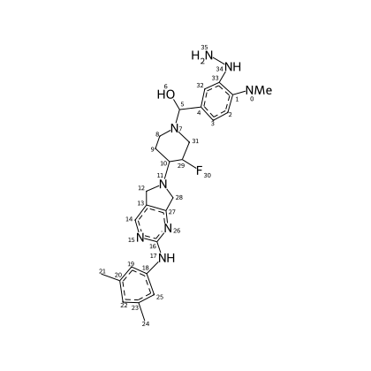 CNc1ccc(C(O)N2CCC(N3Cc4cnc(Nc5cc(C)cc(C)c5)nc4C3)C(F)C2)cc1NN